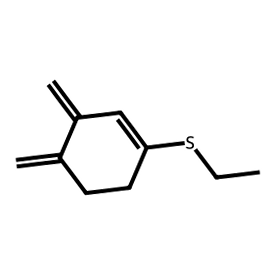 C=C1C=C(SCC)CCC1=C